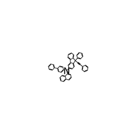 C(#CC1(c2ccccc2)c2ccccc2-c2cc(N(c3ccc(-c4ccccc4)cc3)c3cccc4ccccc34)ccc21)c1ccccc1